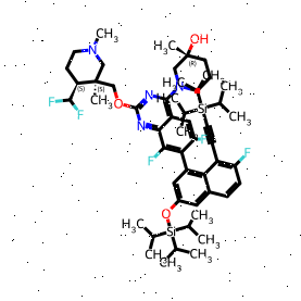 CC(C)[Si](C#Cc1c(F)ccc2cc(O[Si](C(C)C)(C(C)C)C(C)C)cc(-c3c(F)cc4c(N5CCC[C@@](C)(O)C5)nc(OC[C@]5(C)CN(C)CC[C@@H]5C(F)F)nc4c3F)c12)(C(C)C)C(C)C